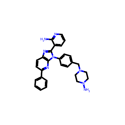 Nc1ncccc1-c1nc2ccc(-c3ccccc3)nc2n1-c1ccc(CN2CCN(N)CC2)cc1